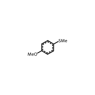 [CH2]Oc1ccc(SC)cc1